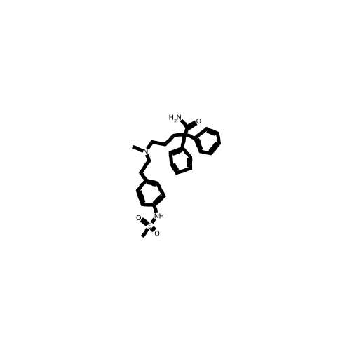 CN(CCCC(C(N)=O)(c1ccccc1)c1ccccc1)CCc1ccc(NS(C)(=O)=O)cc1